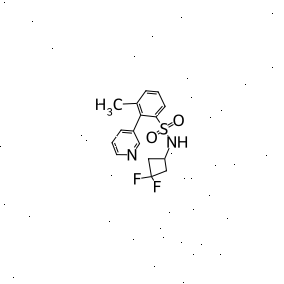 Cc1cccc(S(=O)(=O)NC2CC(F)(F)C2)c1-c1cccnc1